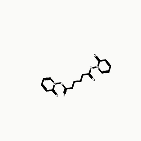 O=C(CCCCC(=O)On1ccccc1=S)On1ccccc1=S